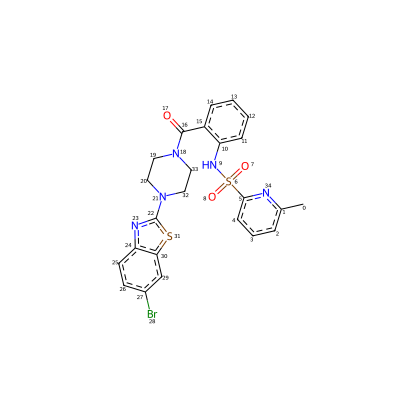 Cc1cccc(S(=O)(=O)Nc2ccccc2C(=O)N2CCN(c3nc4ccc(Br)cc4s3)CC2)n1